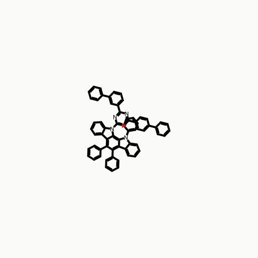 c1ccc(-c2ccc(-c3nc(-c4cccc(-c5ccccc5)c4)nc(-n4c5ccccc5c5c(-c6ccccc6)c(-c6ccccc6)c6c7ccccc7n(-c7ccccc7)c6c54)n3)cc2)cc1